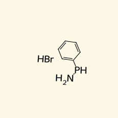 Br.NPc1ccccc1